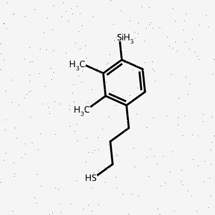 Cc1c([SiH3])ccc(CCCS)c1C